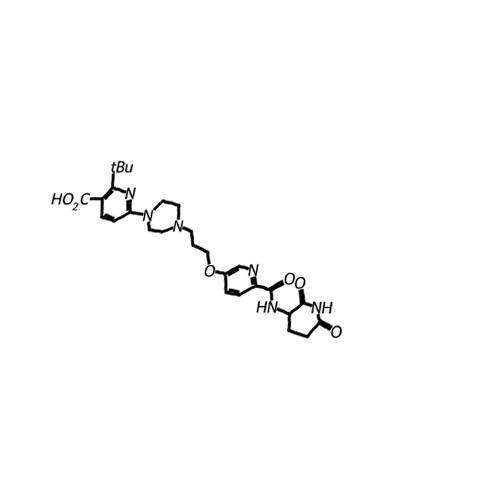 CC(C)(C)c1nc(N2CCN(CCCOc3ccc(C(=O)NC4CCC(=O)NC4=O)nc3)CC2)ccc1C(=O)O